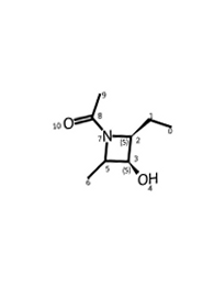 CC[C@H]1[C@@H](O)C(C)N1C(C)=O